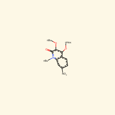 CCCCCCOc1c(OCCCC)c(=O)n(CCCC)c2cc([N+](=O)[O-])ccc12